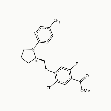 COC(=O)c1cc(Cl)c(OC[C@H]2CCCN2c2ccc(C(F)(F)F)cn2)cc1F